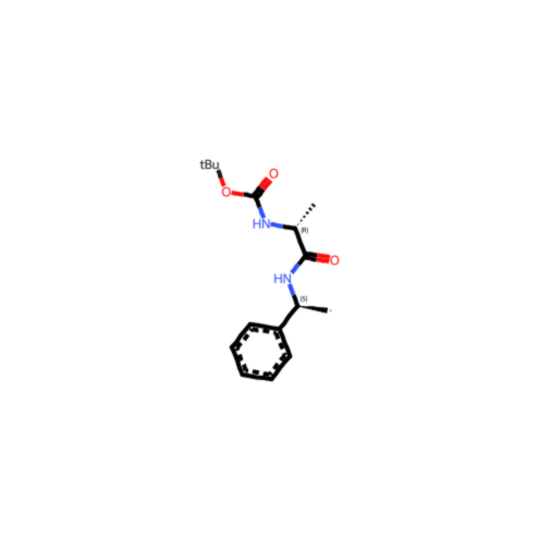 [CH2][C@H](NC(=O)[C@@H](C)NC(=O)OC(C)(C)C)c1ccccc1